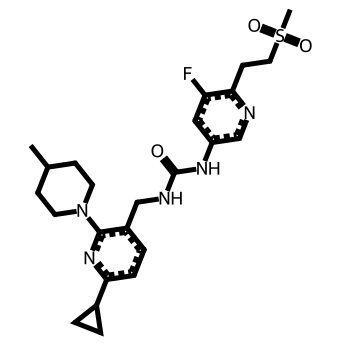 CC1CCN(c2nc(C3CC3)ccc2CNC(=O)Nc2cnc(CCS(C)(=O)=O)c(F)c2)CC1